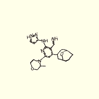 CC1COCCN1c1cc(C2CC3CCC(C2)O3)c(C=N)c(Nc2cc[nH]n2)n1